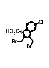 O=C(O)n1c(CBr)c(CBr)c2cc(Cl)ccc21